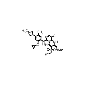 CN/C=C(/Nc1nc(Nc2cc(C)c(C3CN(C)C3)cc2OC2CC2)ncc1Cl)C(=N)S(=O)(=O)CC(C)C